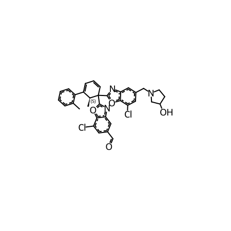 Cc1ccccc1C1=CC=CC(c2nc3cc(C=O)cc(Cl)c3o2)(c2nc3cc(CN4CCC(O)C4)cc(Cl)c3o2)[C@H]1C